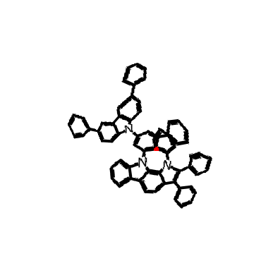 c1ccc(-c2cc(-n3c4ccc(-c5ccccc5)cc4c4cc(-c5ccccc5)ccc43)cc(-n3c4ccccc4c4ccc5c(-c6ccccc6)c(-c6ccccc6)n(-c6ccccc6)c5c43)c2)cc1